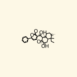 CCC1(C)C2C[C@H](O)[C@@]3(C)Oc4cc(-c5ccccc5)oc(=O)c4[C@H](O)C3[C@@]2(C)CC[C@@H]1C